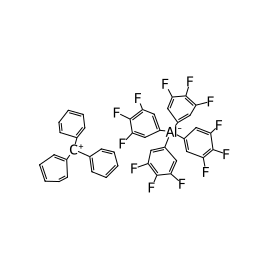 Fc1c[c]([Al-]([c]2cc(F)c(F)c(F)c2)([c]2cc(F)c(F)c(F)c2)[c]2cc(F)c(F)c(F)c2)cc(F)c1F.c1ccc([C+](c2ccccc2)c2ccccc2)cc1